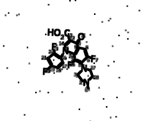 CN1CCN(c2c(F)cc3c(=O)c(C(=O)O)cn(-c4ccc(F)cc4F)c3c2F)CC1